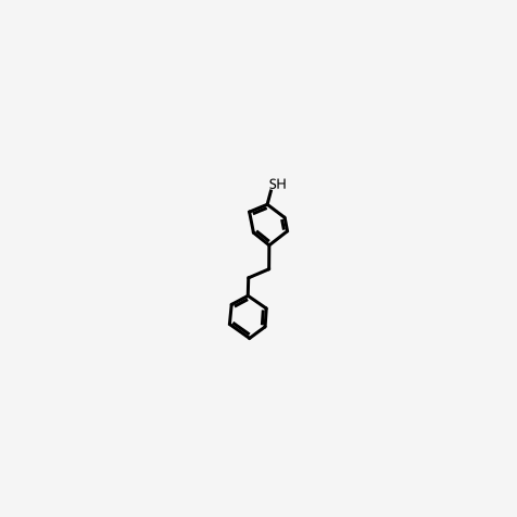 Sc1ccc(CCc2ccccc2)cc1